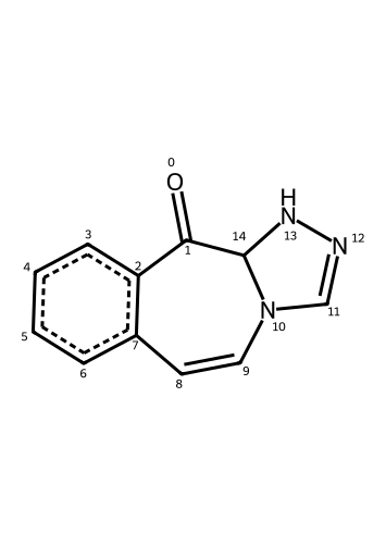 O=C1c2ccccc2C=CN2C=NNC12